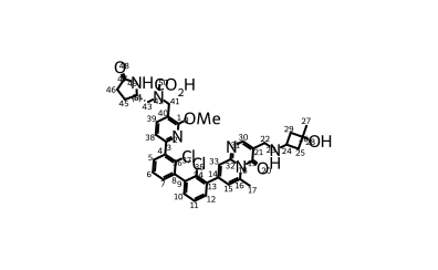 COc1nc(-c2cccc(-c3cccc(-c4cc(C)n5c(=O)c(CNC6CC(C)(O)C6)cnc5c4)c3Cl)c2Cl)ccc1CN(C[C@@H]1CCC(=O)N1)C(=O)O